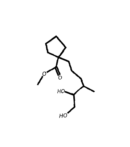 COC(=O)C1(CCCC(C)C(O)CO)CCCC1